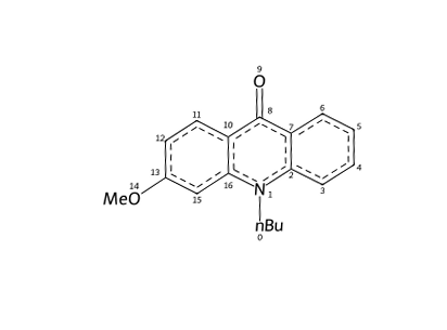 CCCCn1c2ccccc2c(=O)c2ccc(OC)cc21